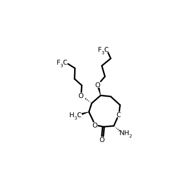 C[C@@H]1OC(=O)[C@@H](N)CCC[C@H](OCCCC(F)(F)F)[C@H]1OCCCC(F)(F)F